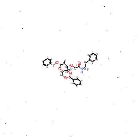 CC1[C@@H](OCc2ccccc2)OC2COC(c3ccccc3)O[C@H]2[C@@H]1OCC(=O)N[C@@H](C)Cc1ccccc1